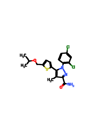 Cc1c(C(N)=O)nn(-c2ccc(Cl)cc2Cl)c1-c1ccc(COC(C)C)s1